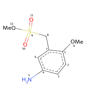 COc1ccc(N)cc1CS(=O)(=O)OC